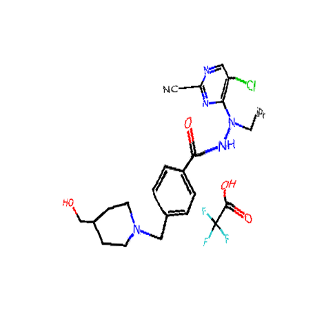 CC(C)CN(NC(=O)c1ccc(CN2CCC(CO)CC2)cc1)c1nc(C#N)ncc1Cl.O=C(O)C(F)(F)F